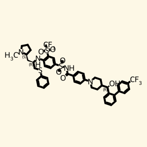 CN1CCC[C@H]1C[C@H](CSc1ccccc1)Nc1ccc(S(=O)(=O)NC(=O)c2ccc(N3CCC([C@@H](O)c4ccccc4-c4ccc(C(F)(F)F)cc4)CC3)cc2)cc1S(=O)(=O)C(F)(F)F